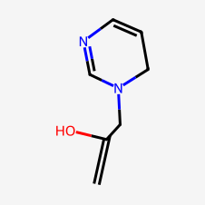 C=C(O)CN1C=NC=CC1